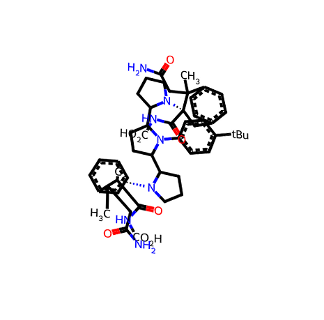 CC(C)(C)c1ccc(N2C(C3CCCN3[C@@]3(C(=O)NC(=O)O)Cc4ccc(cc4)C3(C)CC(N)=O)CCC2C2CCCN2[C@@]2(C(=O)NC(=O)O)Cc3ccc(cc3)C2(C)CC(N)=O)cc1